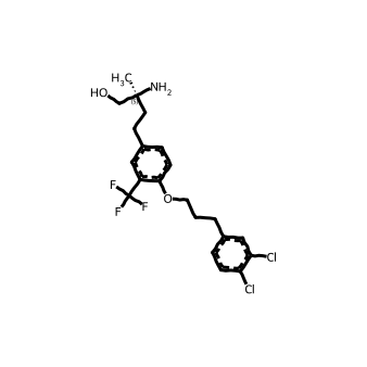 C[C@@](N)(CO)CCc1ccc(OCCCc2ccc(Cl)c(Cl)c2)c(C(F)(F)F)c1